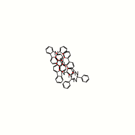 c1ccc(-c2nc(-c3ccccc3)nc(-c3ccc(-c4ccccc4-n4c5ccccc5c5ccc6c7ccccc7n(-c7ccccc7)c6c54)c(-n4c5ccccc5c5ccc6c7ccccc7n(-c7ccccc7)c6c54)c3)n2)cc1